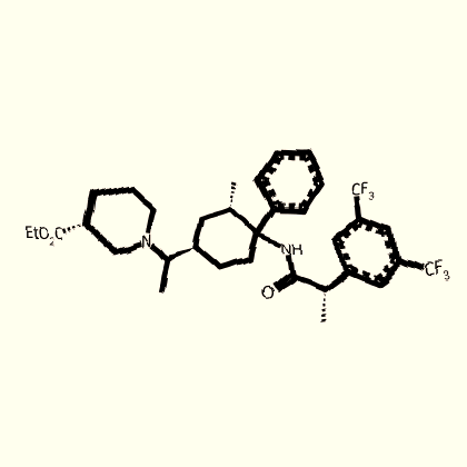 CCOC(=O)[C@@H]1CCCN(C(C)[C@@H]2CCC(NC(=O)[C@@H](C)c3cc(C(F)(F)F)cc(C(F)(F)F)c3)(c3ccccc3)[C@@H](C)C2)C1